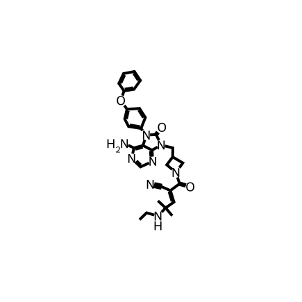 CCNC(C)(C)C=C(C#N)C(=O)N1CC(Cn2c(=O)n(-c3ccc(Oc4ccccc4)cc3)c3c(N)ncnc32)C1